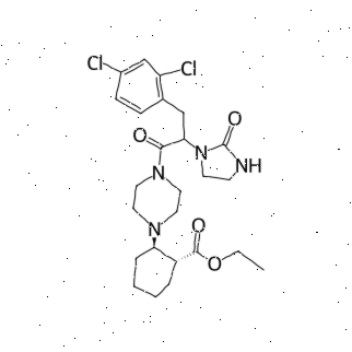 CCOC(=O)[C@@H]1CCCC[C@H]1N1CCN(C(=O)C(Cc2ccc(Cl)cc2Cl)N2CCNC2=O)CC1